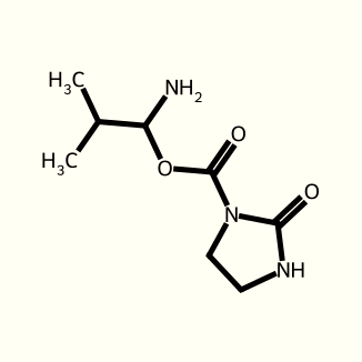 CC(C)C(N)OC(=O)N1CCNC1=O